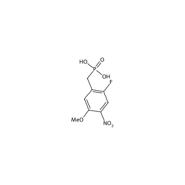 COc1cc(CP(=O)(O)O)c(F)cc1[N+](=O)[O-]